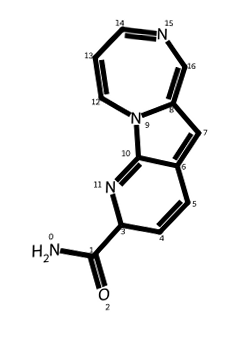 NC(=O)C1C=Cc2cc3n(c2=N1)C=CC=NC=3